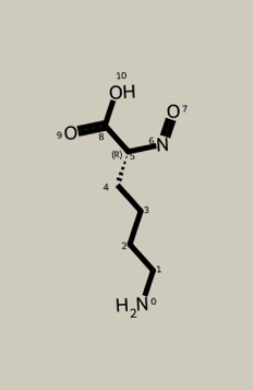 NCCCC[C@@H](N=O)C(=O)O